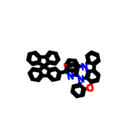 c1ccc(-n2c3ccccc3c3ccc4c(c32)N(c2cccc(-c3ccc5c(c3)C3(c6ccccc6-c6ccccc63)c3ccccc3-5)n2)c2ccccc2O4)cc1